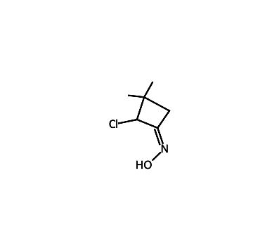 CC1(C)CC(=NO)C1Cl